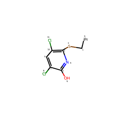 CC(C)CSc1nc(O)c(Cl)cc1Cl